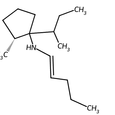 CCCC=CNC1(C(C)CC)CCC[C@H]1C